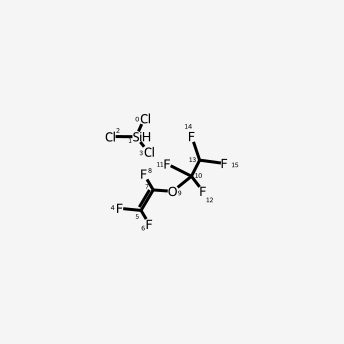 Cl[SiH](Cl)Cl.FC(F)=C(F)OC(F)(F)C(F)F